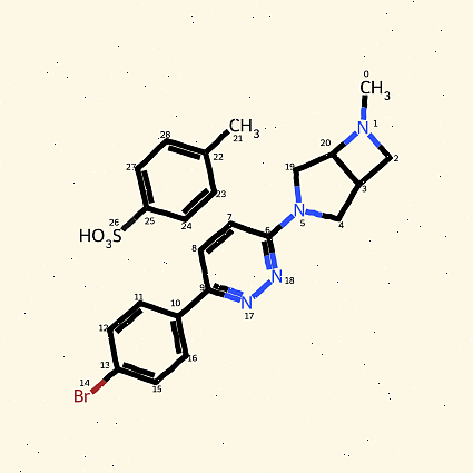 CN1CC2CN(c3ccc(-c4ccc(Br)cc4)nn3)CC21.Cc1ccc(S(=O)(=O)O)cc1